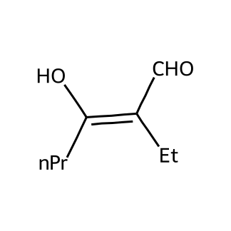 CCCC(O)=C(C=O)CC